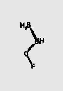 BBOF